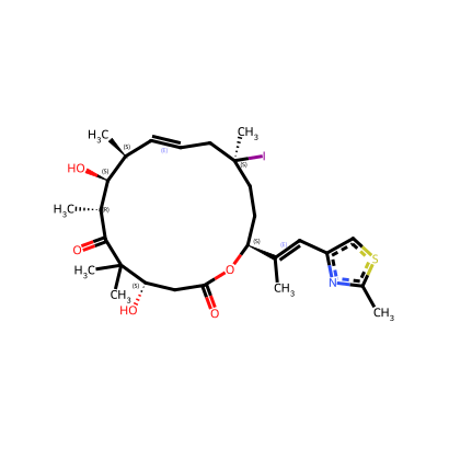 C/C(=C\c1csc(C)n1)[C@@H]1CC[C@](C)(I)C/C=C/[C@H](C)[C@H](O)[C@@H](C)C(=O)C(C)(C)[C@@H](O)CC(=O)O1